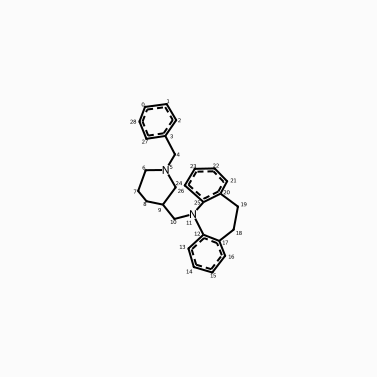 c1ccc(CN2CCCC(CN3c4ccccc4CCc4ccccc43)C2)cc1